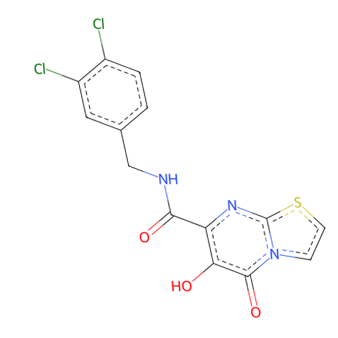 O=C(NCc1ccc(Cl)c(Cl)c1)c1nc2sccn2c(=O)c1O